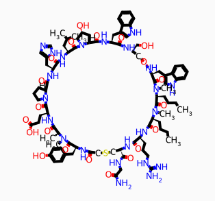 CCCC[C@H]1C(=O)N(C)[C@@H](CCCC)C(=O)N[C@@H](CCCNC(=N)N)C(=O)N[C@H](C(=O)NCC(N)=O)CSCC(=O)N[C@@H](Cc2ccc(O)cc2)C(=O)N(C)[C@@H](C)C(=O)N[C@@H](CCC(=O)O)C(=O)N2CCC[C@H]2C(=O)N[C@@H](Cc2cnc[nH]2)C(=O)N[C@@H](CC(C)C)C(=O)N2C[C@H](O)C[C@H]2C(=O)N[C@@H](Cc2c[nH]c3ccccc23)C(=O)N[C@@H](CO)CON[C@@H](Cc2c[nH]c3ccccc23)C(=O)N1C